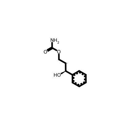 NC(=O)OC[CH][C@H](O)c1ccccc1